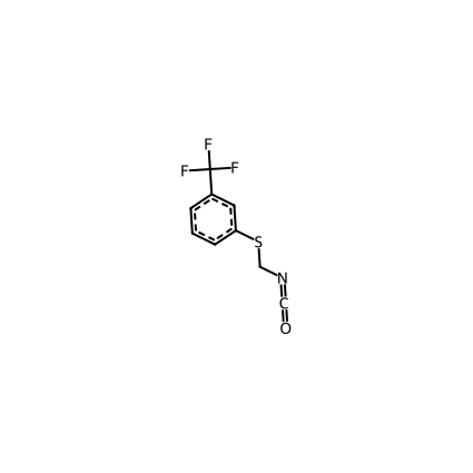 O=C=NCSc1cccc(C(F)(F)F)c1